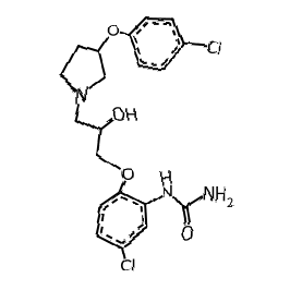 NC(=O)Nc1cc(Cl)ccc1OCC(O)CN1CCC(Oc2ccc(Cl)cc2)C1